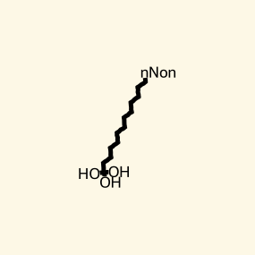 CCCCCCCCCCCCCCCCCCCCCC(O)(O)O